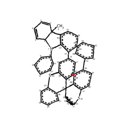 CC12C=CC=CC1N(c1ccccc1)c1c(-c3ccc4c(c3)Sc3ccccc3C43c4ccccc4Sc4ccc(-c5ccccc5)cc43)cccc12